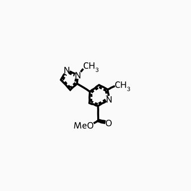 COC(=O)c1cc(-c2ccnn2C)cc(C)n1